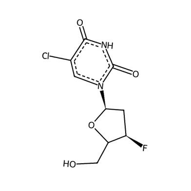 O=c1[nH]c(=O)n([C@H]2C[C@@H](F)C(CO)O2)cc1Cl